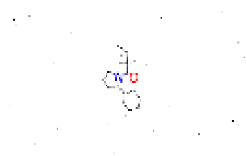 CCC(C)(C)C(=O)N1CCCC1C1CCCCC1